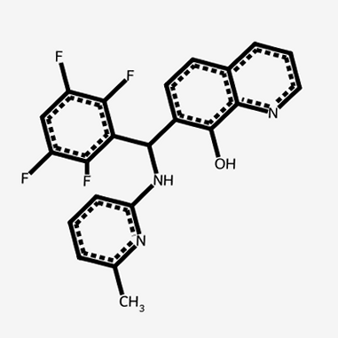 Cc1cccc(NC(c2ccc3cccnc3c2O)c2c(F)c(F)cc(F)c2F)n1